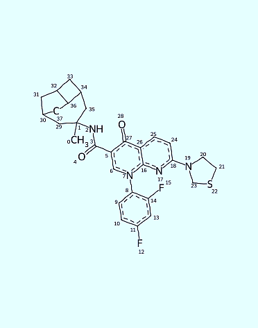 CC1(NC(=O)c2cn(-c3ccc(F)cc3F)c3nc(N4CCSC4)ccc3c2=O)CC2CC3CC(C1)C3C2